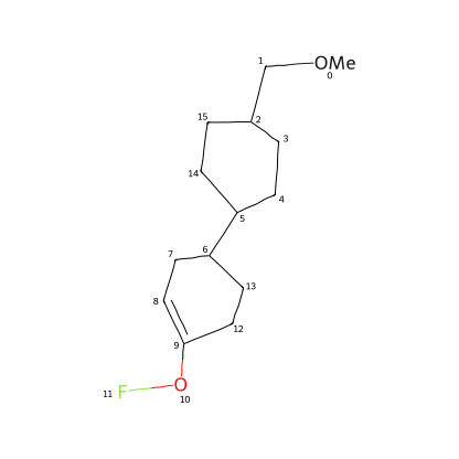 COCC1CCC(C2CC=C(OF)CC2)CC1